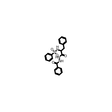 O=C(NNC(=O)C(Cc1ccccc1)NS(=O)(=O)c1ccccc1)c1ccccc1